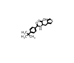 CC(C)(C)c1ccc(C(=O)NC(Cc2ccsc2)C(=O)O)cc1